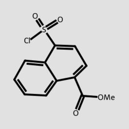 COC(=O)c1ccc(S(=O)(=O)Cl)c2ccccc12